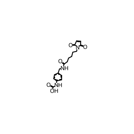 O=C(O)Nc1ccc(CNC(=O)CCCCCN2C(=O)C=CC2=O)cc1